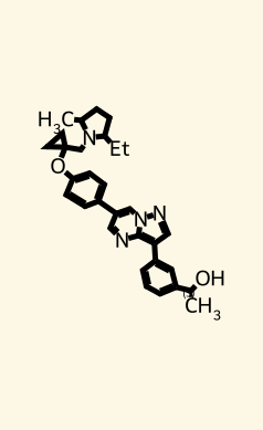 CCC1CCC(C)N1CC1(Oc2ccc(-c3cnc4c(-c5cccc([C@H](C)O)c5)cnn4c3)cc2)CC1